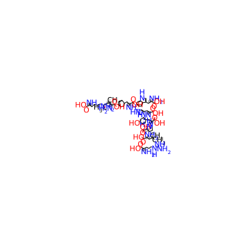 CC(C)C[C@H](N)C(=O)O.CC[C@H](C)[C@H](N)C(=O)O.N=C(N)NCCC[C@H](N)C(=O)O.NCCCC[C@H](N)C(=O)O.N[C@@H](Cc1c[nH]c2ccccc12)C(=O)O.N[C@@H](Cc1c[nH]cn1)C(=O)O.N[C@@H](Cc1ccc(O)cc1)C(=O)O.N[C@@H](Cc1ccccc1)C(=O)O.O=C(O)[C@@H]1CCCN1